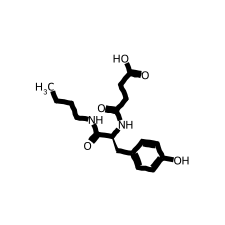 CCCCNC(=O)[C@H](Cc1ccc(O)cc1)NC(=O)CCC(=O)O